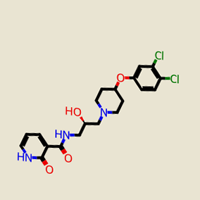 O=C(NC[C@@H](O)CN1CCC(Oc2ccc(Cl)c(Cl)c2)CC1)c1ccc[nH]c1=O